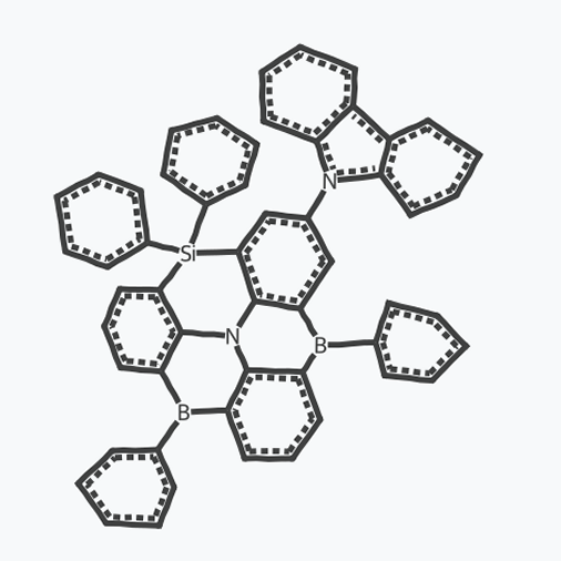 c1ccc(B2c3cccc4c3N3c5c2cccc5[Si](c2ccccc2)(c2ccccc2)c2cc(-n5c6ccccc6c6ccccc65)cc(c23)B4c2ccccc2)cc1